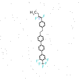 CC/C(F)=C(\F)c1ccc(CCc2ccc(-c3ccc(-c4cc(F)c(C(F)(F)F)c(F)c4)cc3)cc2)cc1